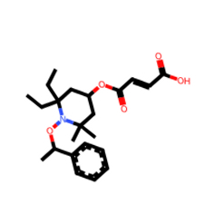 CCC1(CC)CC(OC(=O)/C=C/C(=O)O)CC(C)(C)N1OC(C)c1ccccc1